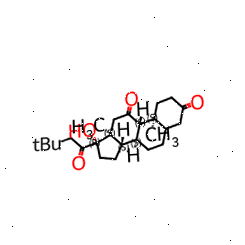 CC(C)(C)CC(=O)[C@@]1(O)CC[C@H]2[C@@H]3CCC4CC(=O)CC[C@]4(C)[C@H]3C(=O)C[C@@]21C